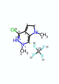 CN1C=C2C(=CCN2C)C(Cl)=[NH+]1.F[B-](F)(F)F